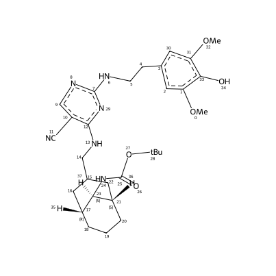 COc1cc(CCNc2ncc(C#N)c(NCC3C[C@H]4CCC[C@@H](C3)[C@@H]4NC(=O)OC(C)(C)C)n2)cc(OC)c1O